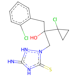 N=c1[nH]c(=S)n(CC(O)(Cc2ccccc2Cl)C2(Cl)CC2)[nH]1